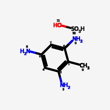 Cc1c(N)cc(N)cc1N.O=S(=O)(O)O